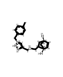 Cc1ccc(Cn2cc(COCC3C[C@@H]4C=C[C@H]3C4)nn2)cc1